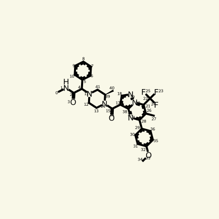 CNC(=O)C(c1ccccc1)N1CCN(C(=O)c2cnn3c(C(F)(F)F)c(C)c(-c4ccc(OC)cc4)nc23)[C@H](C)C1